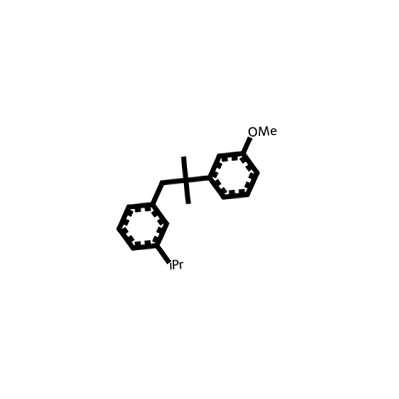 COc1cccc(C(C)(C)Cc2cccc(C(C)C)c2)c1